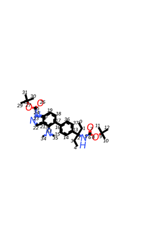 CCC(CC)(NC(=O)OC(C)(C)C)c1ccc(-c2ccc3c(cnn3C(=O)OC(C)(C)C)c2N(C)C)cc1